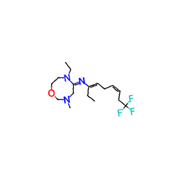 CCC(=C\C/C=C\CC(F)(F)F)/N=C1\CN(C)COCCN1CC